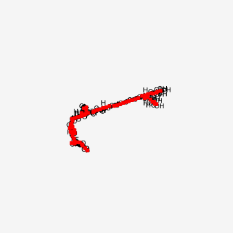 COc1cc2c(c(F)c1OCCCOc1c(OC)cc3sc(C(=O)CCC(=O)O[C@@H](C)CNC(=O)CC[C@H](NC(=O)CN4C(=O)C=CC4=O)C(=O)NCC(=O)NCC(=O)NCC(=O)NCC(=O)NCCOCCOCCOCCOCCOCCOCCOCCOCCC(=O)N[C@@H](CCC(=O)NC[C@H](O)[C@@H](O)[C@H](O)[C@H](O)CO)C(=O)NC[C@H](O)[C@@H](O)[C@H](O)[C@H](O)CO)cc3c1F)CN(C(=O)CCC(=O)OC(C)(C)C)C2